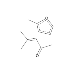 CC(=O)C=C(C)C.Cc1ccco1